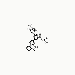 COC(CNc1cc(-c2ccnc(NC(C)c3ccccc3)c2)nc(N2C[C@@H]3C[C@H]2CN3C(C)C)n1)OC